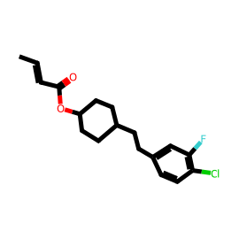 CC=CC(=O)OC1CCC(CCc2ccc(Cl)c(F)c2)CC1